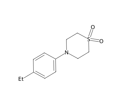 CCc1ccc(N2CCS(=O)(=O)CC2)cc1